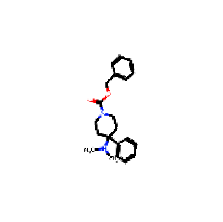 CN(C)C1(c2ccccc2)CCN(C(=O)OCc2ccccc2)CC1